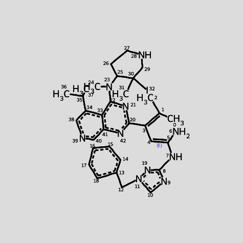 CC(C)=C(/C=C(\N)Nc1ncn(Cc2ccccc2)n1)c1nc(N(C)C2CCNCC2(C)I)c2c(C(C)C)cncc2n1